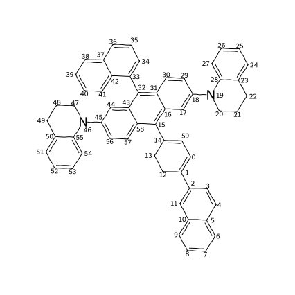 C1=C(c2ccc3ccccc3c2)CCC(c2c3cc(N4CCCc5ccccc54)ccc3c(-c3cccc4ccccc34)c3cc(N4CCCc5ccccc54)ccc23)=C1